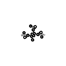 CC(C)(C)C12CCCCC1(C)c1cc(-c3cc(-c4ccccc4)c4ccc5c(-c6ccc7c(c6)C6(C)CCCCC6(C(C)(C)C)N7c6ccccc6)cc(-c6ccc7c(c6)C6(C)CCCCC6(C(C)(C)C)N7c6ccccc6)c6ccc3c4c56)ccc1N2c1ccccc1